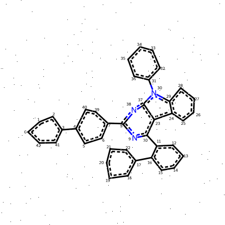 c1ccc(-c2ccc(-c3nc(-c4ccccc4-c4ccccc4)c4c5ccccc5n(-c5ccccc5)c4n3)cc2)cc1